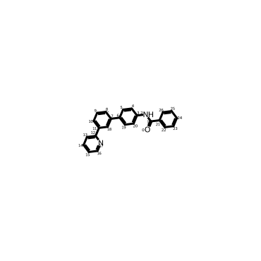 O=C(Nc1ccc(-c2[c]ccc(-c3ccccn3)c2)cc1)c1ccccc1